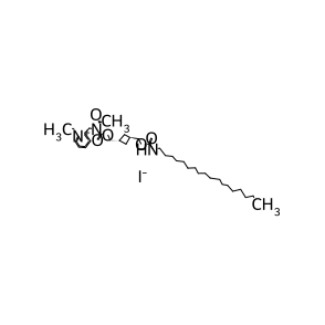 CCCCCCCCCCCCCCCCCCNC(=O)OC[C@H]1C[C@H](COC(=O)N(Cc2cccc[n+]2CC)C(C)=O)C1.[I-]